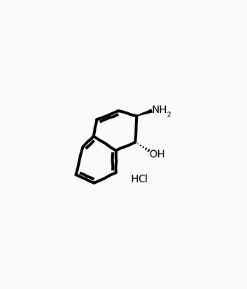 Cl.N[C@@H]1C=Cc2ccccc2[C@H]1O